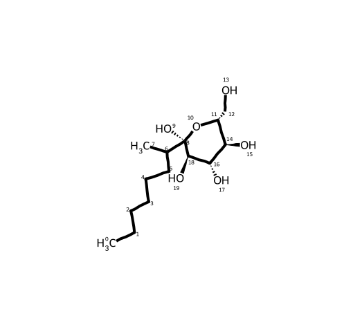 CCCCCCC(C)[C@@]1(O)O[C@H](CO)[C@@H](O)[C@H](O)[C@H]1O